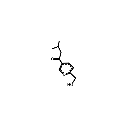 CC(C)CC(=O)c1ccc(CO)nc1